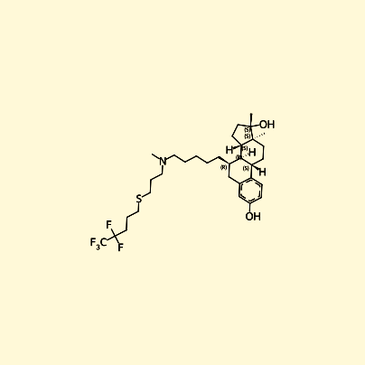 CN(CCCCC[C@@H]1Cc2cc(O)ccc2[C@H]2CC[C@@]3(C)[C@@H](CC[C@]3(C)O)[C@H]12)CCCSCCCC(F)(F)C(F)(F)F